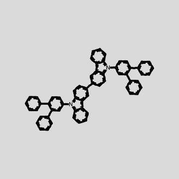 c1ccc(-c2ccc(-n3c4ccccc4c4cc(-c5ccc6c(c5)c5ccccc5n6-c5ccc(-c6ccccc6)c(-c6ccccc6)c5)ccc43)cc2-c2ccccc2)cc1